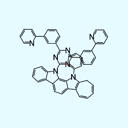 C1=CCc2c(c3ccc4c5ccccc5n(-c5nc(-c6cccc(-c7ccccn7)c6)nc(-c6cccc(-c7ccccn7)c6)n5)c4c3n2-c2ccccc2)C=C1